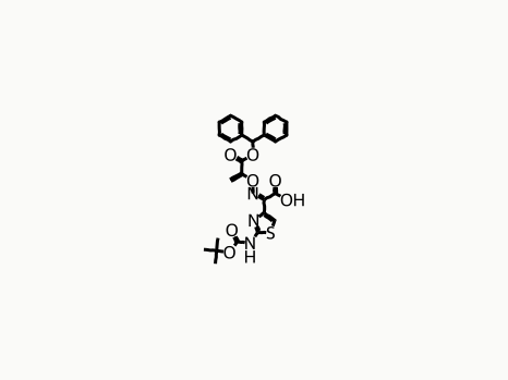 C=C(ON=C(C(=O)O)c1csc(NC(=O)OC(C)(C)C)n1)C(=O)OC(c1ccccc1)c1ccccc1